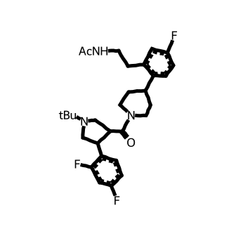 CC(=O)NCCc1cc(F)ccc1C1CCN(C(=O)C2CN(C(C)(C)C)CC2c2ccc(F)cc2F)CC1